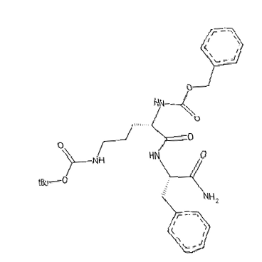 CC(C)(C)OC(=O)NCCC[C@H](NC(=O)OCc1ccccc1)C(=O)N[C@@H](Cc1ccccc1)C(N)=O